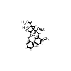 C=CC1(N)CC1(C(=O)OCc1ccccc1)P(=O)(Cc1ccccc1C(F)(F)F)OCC